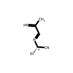 CC[C@@H](C#N)N=CC(C)=N